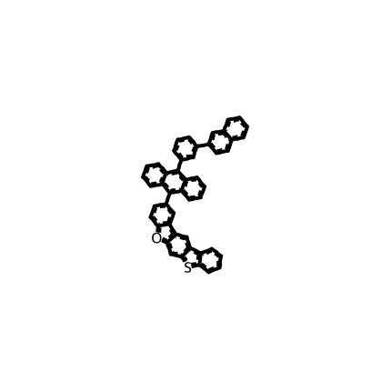 c1cc(-c2ccc3ccccc3c2)cc(-c2c3ccccc3c(-c3ccc4oc5cc6sc7ccccc7c6cc5c4c3)c3ccccc23)c1